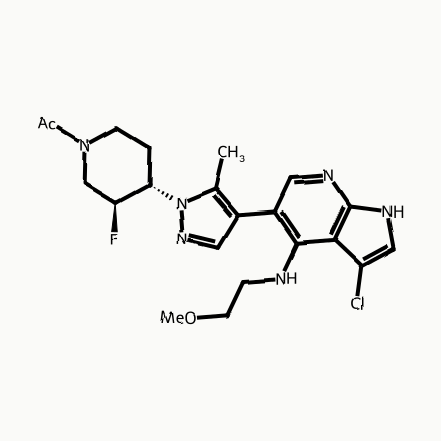 COCCNc1c(-c2cnn([C@H]3CCN(C(C)=O)C[C@@H]3F)c2C)cnc2[nH]cc(Cl)c12